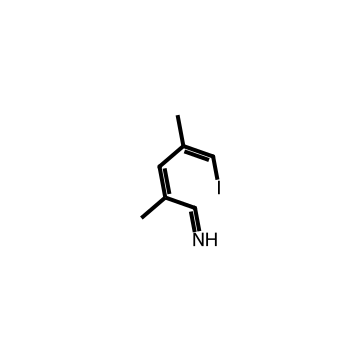 CC(=CI)C=C(C)C=N